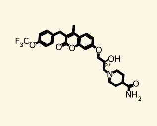 Cc1c(Cc2ccc(OC(F)(F)F)cc2)c(=O)oc2cc(OC[C@@H](O)CN3CCC(C(N)=O)CC3)ccc12